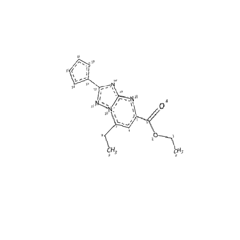 CCOC(=O)c1cc(CC)n2nc(-c3cccs3)nc2n1